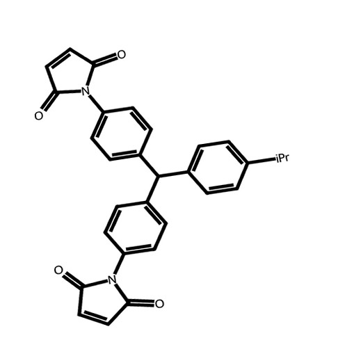 CC(C)c1ccc(C(c2ccc(N3C(=O)C=CC3=O)cc2)c2ccc(N3C(=O)C=CC3=O)cc2)cc1